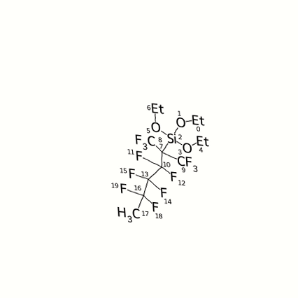 CCO[Si](OCC)(OCC)C(C(F)(F)F)(C(F)(F)F)C(F)(F)C(F)(F)C(C)(F)F